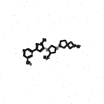 CCn1nc(-c2cncc(C(F)(F)F)c2)cc1[C@@H]1C[C@H](N2CCC3(C2)C[S+]([O-])C3)CC1C